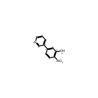 O=[N+]([O-])c1ccc(-c2cccnc2)cc1O